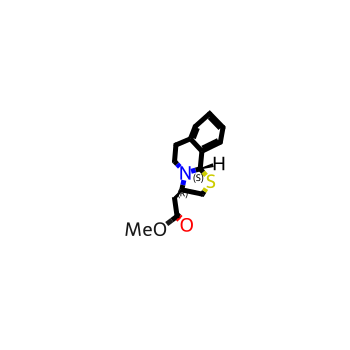 COC(=O)C[C@@H]1CS[C@H]2c3ccccc3CCN12